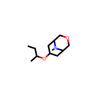 CCC(C)OC1CC2COCC(C1)N2C